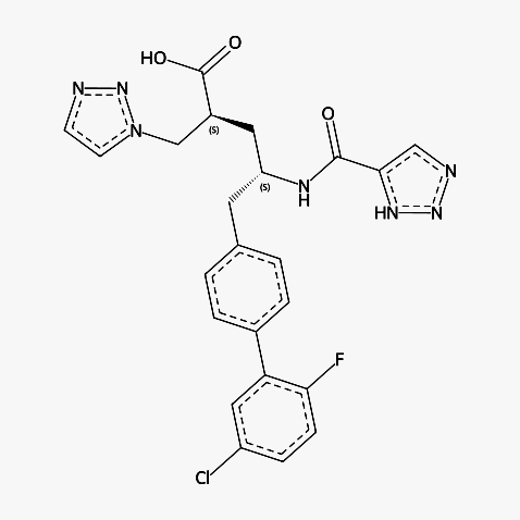 O=C(N[C@H](Cc1ccc(-c2cc(Cl)ccc2F)cc1)C[C@@H](Cn1ccnn1)C(=O)O)c1cnn[nH]1